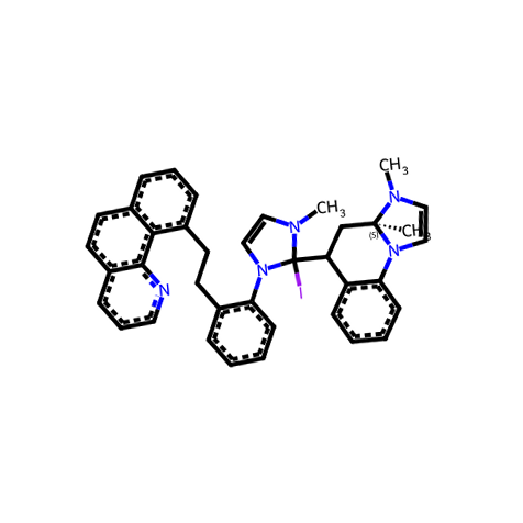 CN1C=CN(c2ccccc2CCc2cccc3ccc4cccnc4c23)C1(I)C1C[C@@]2(C)N(C)C=CN2c2ccccc21